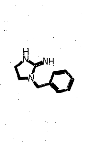 N=C1NCCN1Cc1ccccc1